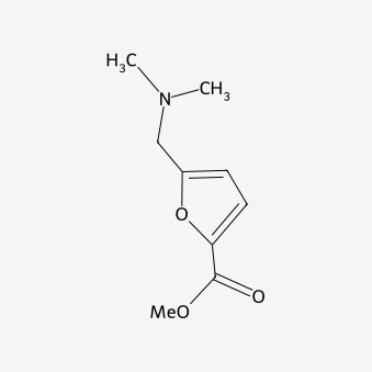 COC(=O)c1ccc(CN(C)C)o1